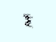 Nc1ncnc2c([C@@H]3O[C@H](CO)C(O)C3O)cnn12